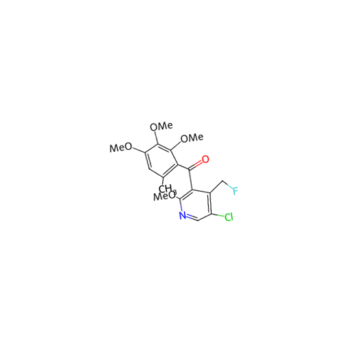 COc1cc(C)c(C(=O)c2c(OC)ncc(Cl)c2CF)c(OC)c1OC